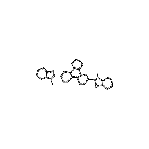 Cn1c(-c2ccc3c4ccc(-c5nc6ccccc6n5C)cc4c4ccccc4c3c2)nc2ccccc21